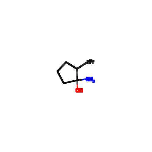 CCCC1CCCC1(N)O